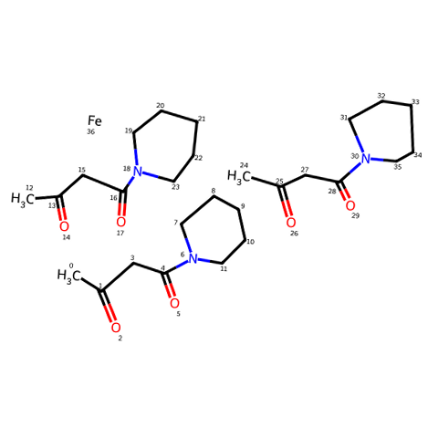 CC(=O)CC(=O)N1CCCCC1.CC(=O)CC(=O)N1CCCCC1.CC(=O)CC(=O)N1CCCCC1.[Fe]